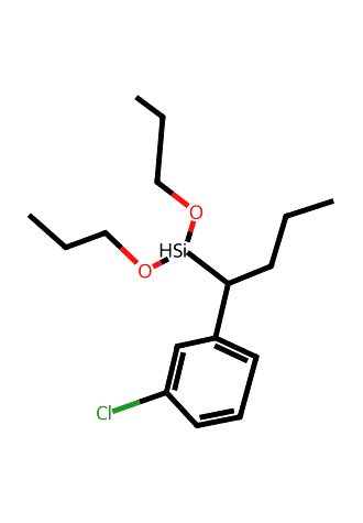 CCCO[SiH](OCCC)C(CCC)c1cccc(Cl)c1